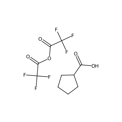 O=C(O)C1CCCC1.O=C(OC(=O)C(F)(F)F)C(F)(F)F